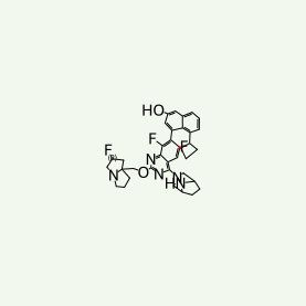 Oc1cc(-c2c(F)cc3c(N4CC5CCC(C4)N5)nc(OCC45CCCN4C[C@H](F)C5)nc3c2F)c2c(C3CCC3)cccc2c1